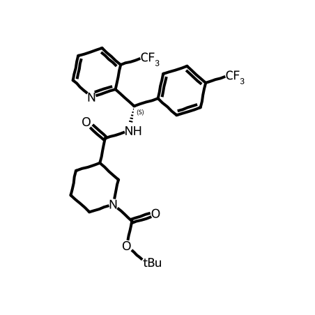 CC(C)(C)OC(=O)N1CCCC(C(=O)N[C@@H](c2ccc(C(F)(F)F)cc2)c2ncccc2C(F)(F)F)C1